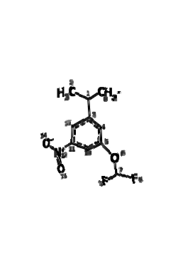 [CH2]C(C)c1cc(OC(F)F)cc([N+](=O)[O-])c1